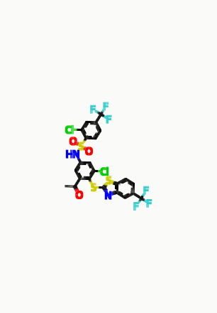 CC(=O)c1cc(NS(=O)(=O)c2ccc(C(F)(F)F)cc2Cl)cc(Cl)c1Sc1nc2cc(C(F)(F)F)ccc2s1